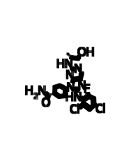 C[C@H](CO)Nc1ncc2nc(Nc3c(F)cc(Cl)cc3Cl)n([C@H]3CC[C@@H](C(N)=O)CC3)c2n1